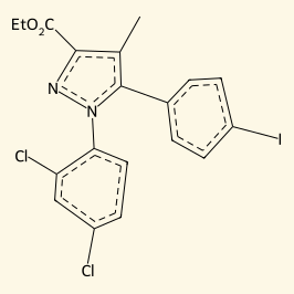 CCOC(=O)c1nn(-c2ccc(Cl)cc2Cl)c(-c2ccc(I)cc2)c1C